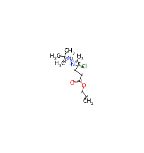 C=CCOC(=O)CCC(C)(Cl)/N=N/C(C)(C)C